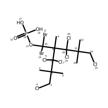 CC(C)(CCl)C(Cl)(Cl)C(C)(C(Br)(Br)OP(=O)(O)O)C(Cl)(Cl)C(C)(C)CCl